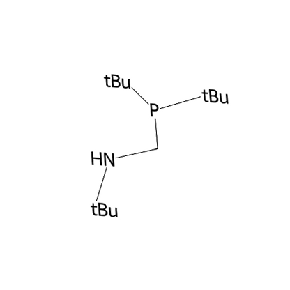 CC(C)(C)NCP(C(C)(C)C)C(C)(C)C